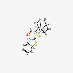 O=CC(Sc1nc2ccccc2s1)C12CC3CC(CC(C3)C1)C2